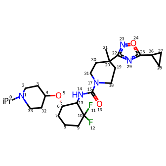 CC(C)N1CCC(O[C@H]2CCCC(F)(F)C2NC(=O)N2CCC(C)(c3noc(C4CC4)n3)CC2)CC1